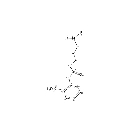 CCN(CC)CCCCC(=O)Oc1ccccc1C(=O)O